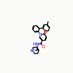 CC1=CCC(=S)C(c2ccccc2-n2cc(C(=O)NC3CN4CCC3CC4)ccc2=O)=C1